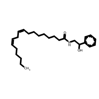 CCCCC/C=C\C/C=C\CCCCCCCC(=O)NCC(O)c1ccccc1